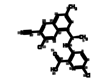 Cc1cc([C@@H](C)Nc2ccc(Cl)nc2C(=O)O)c2nc(Cl)c(C#N)nc2c1